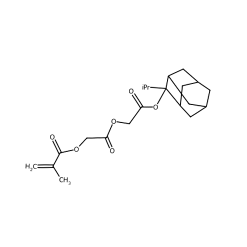 C=C(C)C(=O)OCC(=O)OCC(=O)OC1(C(C)C)C2CC3CC(C2)CC1C3